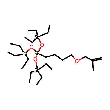 C=C(C)COCCCC[Si](O[Si](CC)(CC)CC)(O[Si](CC)(CC)CC)O[Si](CC)(CC)CC